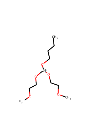 CCCCO[SiH](OCCOC)OCCOC